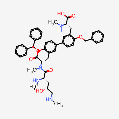 CNC[C@H](O)C[C@H](NC)C(=O)N(C)[C@@H](Cc1cc(-c2ccc(OCc3ccccc3)c(C[C@H](NC)C(=O)O)c2)ccc1OCc1ccccc1)C(=O)OCc1ccccc1